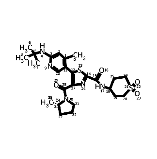 Cc1cc(NC(C)(C)C)ncc1-c1sc(C(=O)NC2CCS(=O)(=O)CC2)nc1C(=O)N1CCC[C@@H]1C